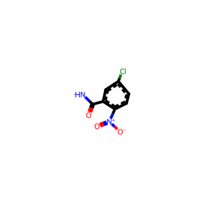 [NH]C(=O)c1cc(Cl)ccc1[N+](=O)[O-]